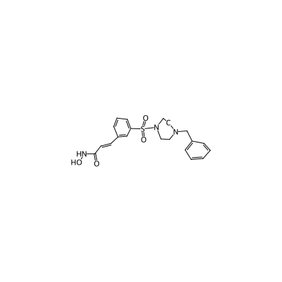 O=C(C=Cc1cccc(S(=O)(=O)N2CCN(Cc3ccccc3)CC2)c1)NO